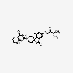 CN(C)C(=O)COc1cc(F)c2c(c1)C(=O)OC21CCN(c2nc3c(c(=O)[nH]2)CCCN3)CC1